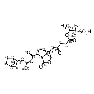 CCC(OC(=O)C1C2CC3C(OC(=O)C31)C2OC(=O)CCC(=O)OC(C)C(F)(F)S(=O)(=O)O)OC1CC2CCC1C2